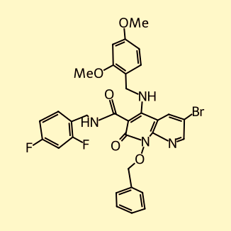 COc1ccc(CNc2c(C(=O)NCc3ccc(F)cc3F)c(=O)n(OCc3ccccc3)c3ncc(Br)cc23)c(OC)c1